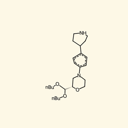 CCCCOC(OCCCC)[C@@H]1CN(c2ccc(C3CCNCC3)cc2)CCO1